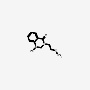 CC(=O)N1CN(CCO[N+](=O)[O-])C(=O)c2ccccc21